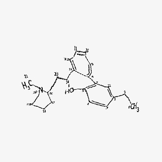 CCc1ccc(O)c(-c2ccccc2CCC2CCCN2C)c1